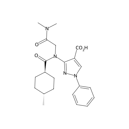 CN(C)C(=O)CN(c1nn(-c2ccccc2)cc1C(=O)O)C(=O)[C@H]1CC[C@H](C)CC1